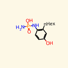 CCCCCCc1cc(O)ccc1NP(N)(=O)O